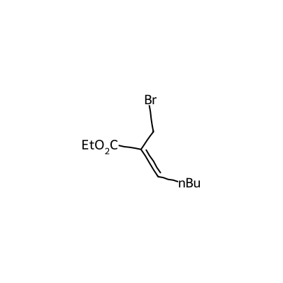 CCCC/C=C(\CBr)C(=O)OCC